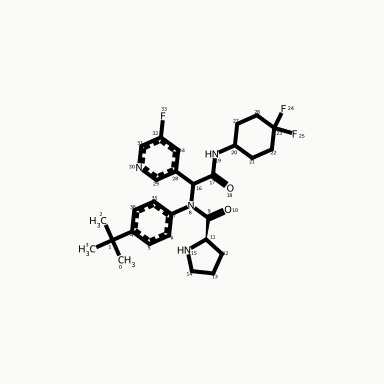 CC(C)(C)c1ccc(N(C(=O)[C@H]2CCCN2)C(C(=O)NC2CCC(F)(F)CC2)c2cncc(F)c2)cc1